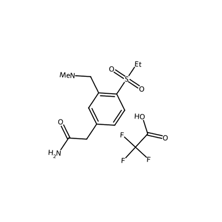 CCS(=O)(=O)c1ccc(CC(N)=O)cc1CNC.O=C(O)C(F)(F)F